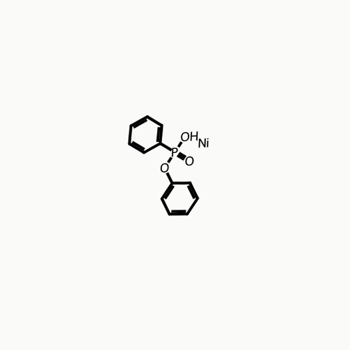 O=P(O)(Oc1ccccc1)c1ccccc1.[Ni]